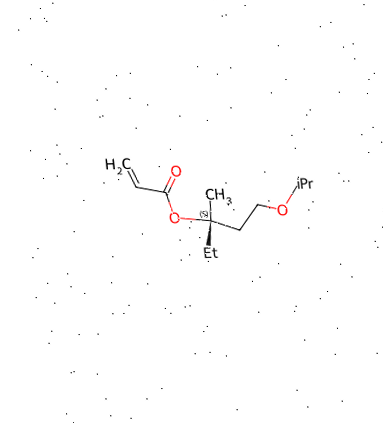 C=CC(=O)O[C@@](C)(CC)CCOC(C)C